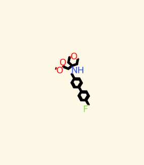 COC(=O)CC1(NCc2ccc(-c3ccc(CF)cc3)cc2)CCOCC1